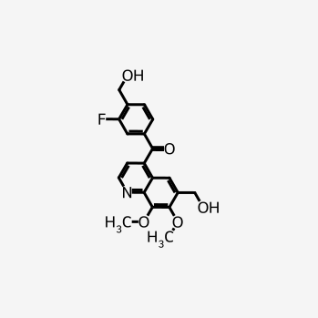 COc1c(CO)cc2c(C(=O)c3ccc(CO)c(F)c3)ccnc2c1OC